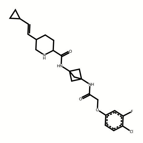 O=C(COc1ccc(Cl)c(F)c1)NC12CC(NC(=O)C3CCC(/C=C/C4CC4)CN3)(C1)C2